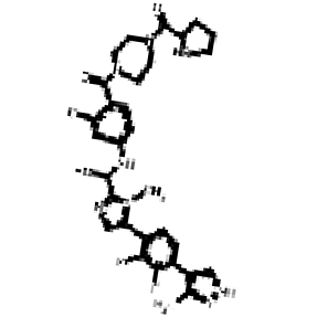 Cc1n[nH]cc1-c1ccc(-c2cnc(C(O)Nc3ccc(C(=O)N4CCN(C(=O)C5CCCN5)CC4)c(Cl)c3)n2C)c(F)c1F